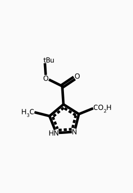 Cc1[nH]nc(C(=O)O)c1C(=O)OC(C)(C)C